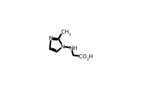 Cc1nccn1NCC(=O)O